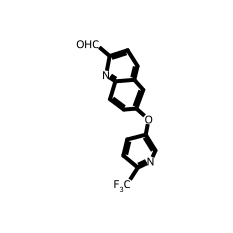 O=Cc1ccc2cc(Oc3ccc(C(F)(F)F)nc3)ccc2n1